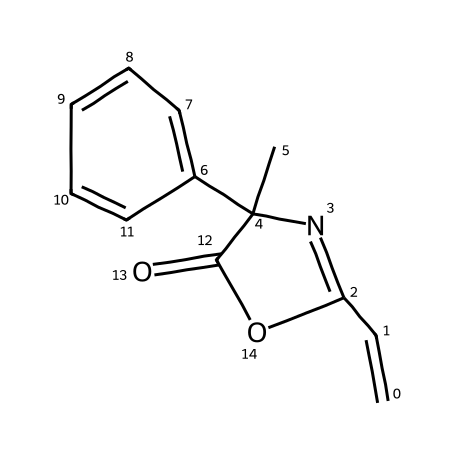 C=CC1=NC(C)(c2ccccc2)C(=O)O1